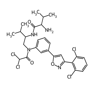 CC(C)C(CN(C(=O)C(Cl)Cl)c1cccc(-c2cc(-c3c(Cl)cccc3Cl)no2)c1)NC(=O)C(N)C(C)C